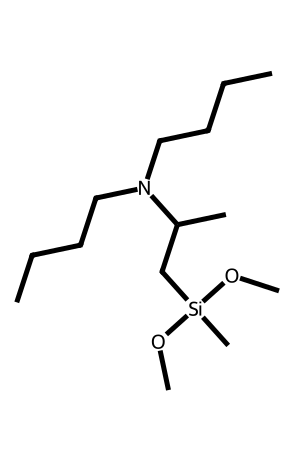 CCCCN(CCCC)C(C)C[Si](C)(OC)OC